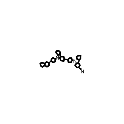 N#Cc1ccc2c(c1)c1ccccc1n2-c1ccc(-c2ccc3c(c2)c2ccccc2n3-c2ccc(-c3ccc4ccccc4c3)cc2)cc1